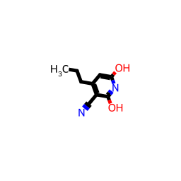 CCCc1cc(O)nc(O)c1C#N